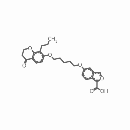 CCCc1c(OCCCCCOc2ccc3c(C(=O)O)occ3c2)ccc2c1OCCC2=O